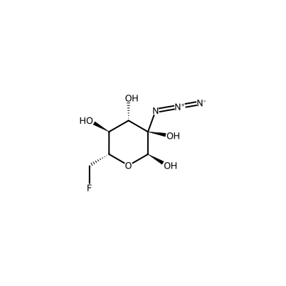 [N-]=[N+]=N[C@]1(O)[C@@H](O)O[C@H](CF)[C@@H](O)[C@@H]1O